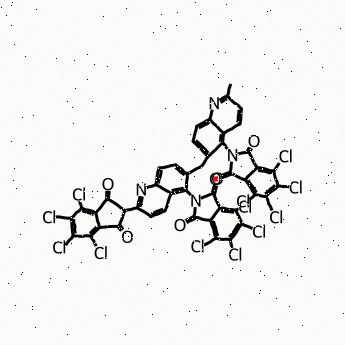 Cc1ccc2c(N3C(=O)c4c(Cl)c(Cl)c(Cl)c(Cl)c4C3=O)c(Cc3ccc4nc(C5C(=O)c6c(Cl)c(Cl)c(Cl)c(Cl)c6C5=O)ccc4c3N3C(=O)c4c(Cl)c(Cl)c(Cl)c(Cl)c4C3=O)ccc2n1